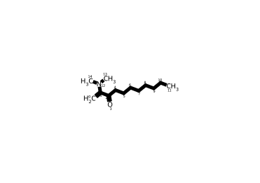 C=C(C(=O)CCCCCCCC)N(C)C